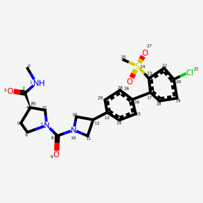 CNC(=O)[C@@H]1CCN(C(=O)N2CC(c3ccc(-c4ccc(Cl)cc4S(C)(=O)=O)cc3)C2)C1